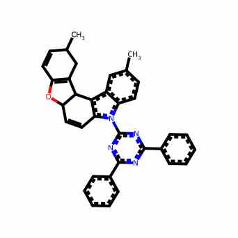 Cc1ccc2c(c1)c1c(n2-c2nc(-c3ccccc3)nc(-c3ccccc3)n2)C=CC2OC3=C(CC(C)C=C3)C12